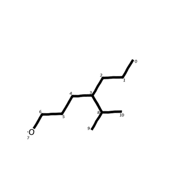 CCCC(CCC[O])C(C)C